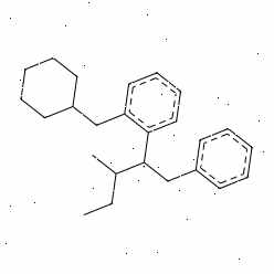 CCC(C)[C](Cc1ccccc1)c1ccccc1CC1CCCCC1